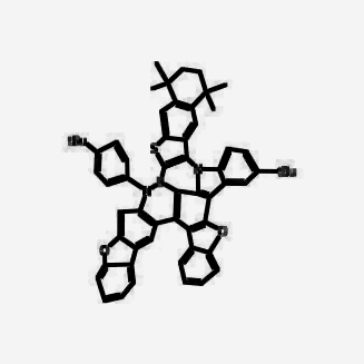 CC(C)(C)c1ccc(N2B3c4sc5cc6c(cc5c4-n4c5ccc(C(C)(C)C)cc5c5c7oc8ccccc8c7c(c3c54)-c3cc4c(cc32)oc2ccccc24)C(C)(C)CCC6(C)C)cc1